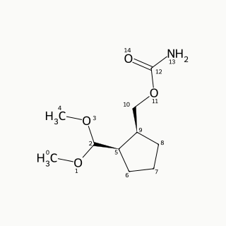 COC(OC)[C@@H]1CCC[C@@H]1COC(N)=O